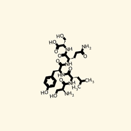 CC(C)C[C@H](NC(=O)[C@@H](N)CO)C(=O)N[C@@H](Cc1ccc(O)cc1)C(=O)N[C@@H](CCC(N)=O)C(=O)N[C@@H](CO)C(=O)O